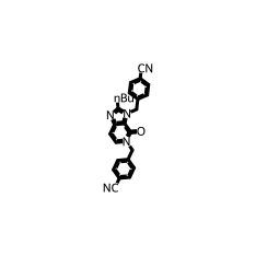 CCCCc1nc2ccn(Cc3ccc(C#N)cc3)c(=O)c2n1Cc1ccc(C#N)cc1